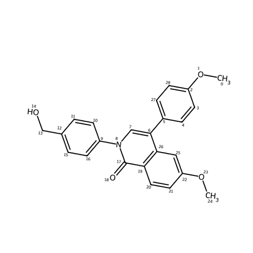 COc1ccc(-c2cn(-c3ccc(CO)cc3)c(=O)c3ccc(OC)cc23)cc1